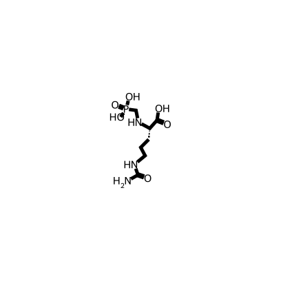 NC(=O)NCCC[C@H](NCP(=O)(O)O)C(=O)O